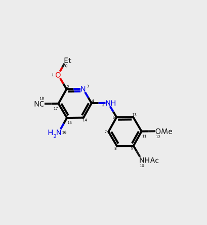 CCOc1nc(Nc2ccc(NC(C)=O)c(OC)c2)cc(N)c1C#N